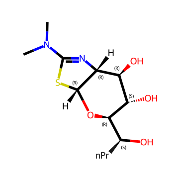 CCC[C@H](O)[C@H]1O[C@@H]2SC(N(C)C)=N[C@@H]2[C@@H](O)[C@@H]1O